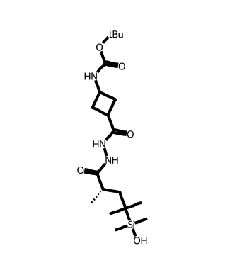 C[C@@H](CC(C)(C)[Si](C)(C)O)C(=O)NNC(=O)C1CC(NC(=O)OC(C)(C)C)C1